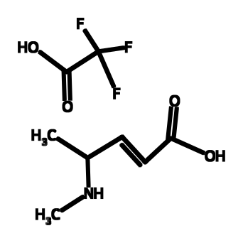 CNC(C)/C=C/C(=O)O.O=C(O)C(F)(F)F